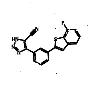 N#Cc1[nH]nnc1-c1cccc(-c2cc3cccc(F)c3s2)c1